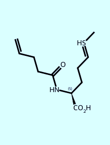 C=CCCC(=O)N[C@@H](CCC=[SH]C)C(=O)O